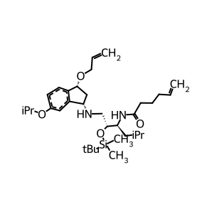 C=CCCCC(=O)N[C@@H](CC(C)C)[C@@H](CN[C@H]1C[C@@H](OCC=C)c2ccc(OC(C)C)cc21)O[Si](C)(C)C(C)(C)C